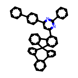 c1ccc(-c2ccc(-c3cc(-c4cccc5c4-c4ccccc4C54c5ccccc5-c5ccccc5-c5ccccc54)nc(-c4ccccc4)n3)cc2)cc1